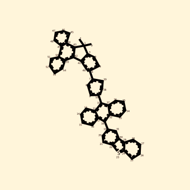 CC1(C)c2ccc(-c3ccc(-c4c5ccccc5c(-c5ccc6sc7ccccc7c6c5)c5ccccc45)cc3)cc2-c2c1c1ccccc1c1ccccc21